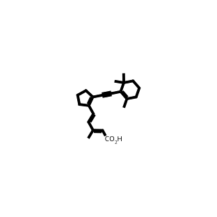 CC(C=CC1=C(C#CC2=C(C)CCCC2(C)C)CCC1)=CC(=O)O